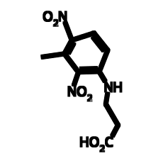 Cc1c([N+](=O)[O-])ccc(NCCC(=O)O)c1[N+](=O)[O-]